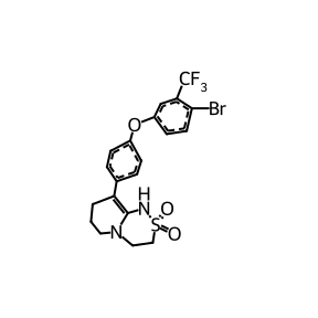 O=S1(=O)CCN2CCCC(c3ccc(Oc4ccc(Br)c(C(F)(F)F)c4)cc3)=C2N1